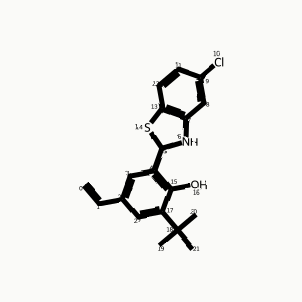 C=Cc1cc(C2Nc3cc(Cl)ccc3S2)c(O)c(C(C)(C)C)c1